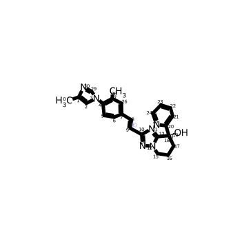 Cc1cn(-c2ccc(/C=C/c3nc4n(n3)CCC[C@]4(O)c3ccccn3)cc2C)cn1